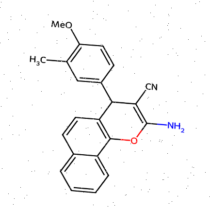 COc1ccc(C2C(C#N)=C(N)Oc3c2ccc2ccccc32)cc1C